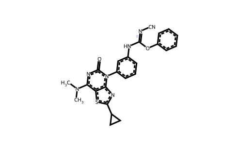 CN(C)c1nc(=O)n(-c2cccc(N/C(=N/C#N)Oc3ccccc3)c2)c2nc(C3CC3)sc12